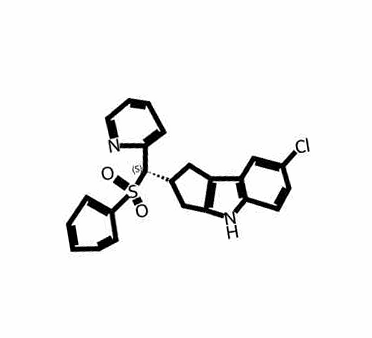 O=S(=O)(c1ccccc1)[C@H](c1ccccn1)C1Cc2[nH]c3ccc(Cl)cc3c2C1